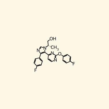 C[C@@H](CO)n1cnc(-c2ccc(F)cc2)c1-c1ccnc(Oc2ccc(F)cc2)n1